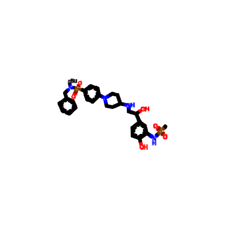 CCCCN(Cc1ccccc1)S(=O)(=O)c1ccc(N2CCC(NCC(O)c3ccc(O)c(NS(C)(=O)=O)c3)CC2)cc1